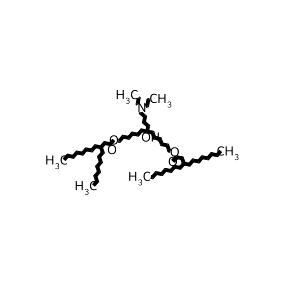 CCCCCCCCC(CCCCCCCC)CC(=O)OCCCCCCC(O)(CCCCCCOC(=O)CC(CCCCCCCC)CCCCCCCC)CCCCN(CCC)CCC